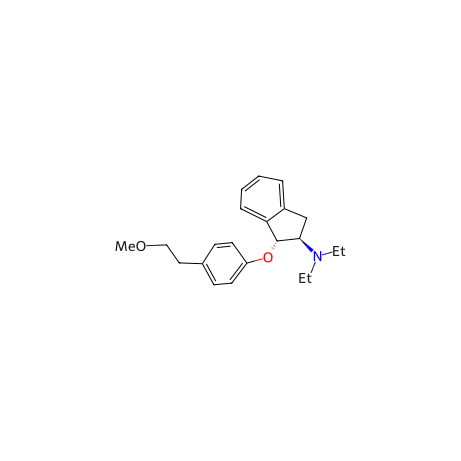 CCN(CC)[C@@H]1Cc2ccccc2[C@H]1Oc1ccc(CCOC)cc1